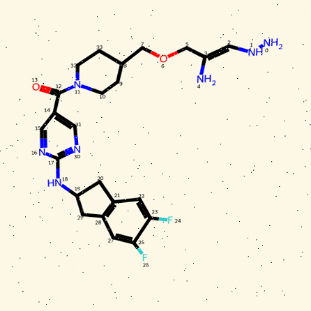 NN/C=C(\N)COCC1CCN(C(=O)c2cnc(NC3Cc4cc(F)c(F)cc4C3)nc2)CC1